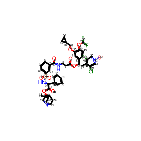 O=C(CCNC(=O)c1cccc(S(=O)(=O)NC(C(=O)O[C@H]2CN3CCC2CC3)c2ccccc2)c1)O[C@@H](Cc1c(Cl)c[n+]([O-])cc1Cl)c1ccc(OC(F)F)c(OCC2CC2)c1